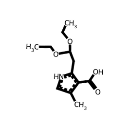 CCOC(Cc1[nH]cc(C)c1C(=O)O)OCC